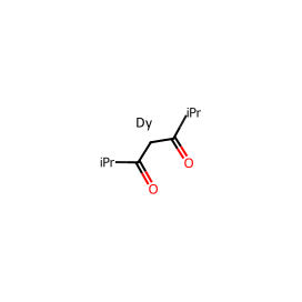 CC(C)C(=O)CC(=O)C(C)C.[Dy]